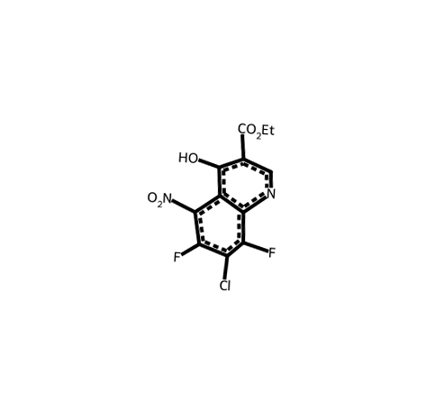 CCOC(=O)c1cnc2c(F)c(Cl)c(F)c([N+](=O)[O-])c2c1O